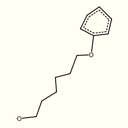 [O]CCCCCCOc1ccccc1